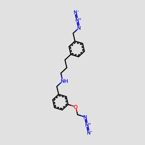 [N-]=[N+]=NCOc1cccc(CNCCCc2cccc(CN=[N+]=[N-])c2)c1